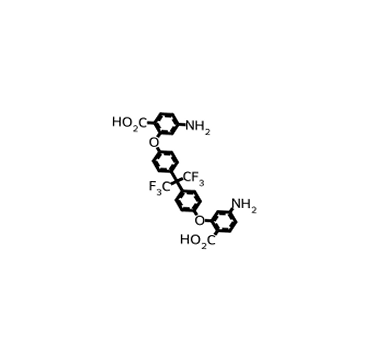 Nc1ccc(C(=O)O)c(Oc2ccc(C(c3ccc(Oc4cc(N)ccc4C(=O)O)cc3)(C(F)(F)F)C(F)(F)F)cc2)c1